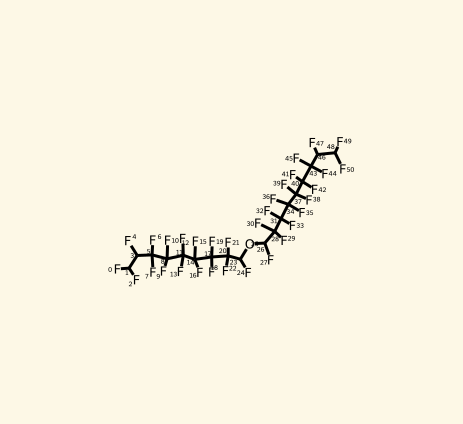 FC(F)C(F)C(F)(F)C(F)(F)C(F)(F)C(F)(F)C(F)(F)C(F)(F)C(F)OC(F)C(F)(F)C(F)(F)C(F)(F)C(F)(F)C(F)(F)C(F)(F)C(F)C(F)F